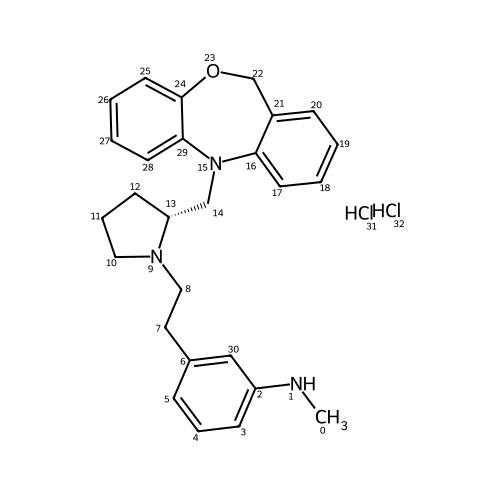 CNc1cccc(CCN2CCC[C@@H]2CN2c3ccccc3COc3ccccc32)c1.Cl.Cl